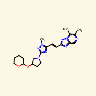 Cc1ncc2nc(C=Cc3nc(N4CCC(OC5CCCCO5)C4)nn3C)nn2c1C